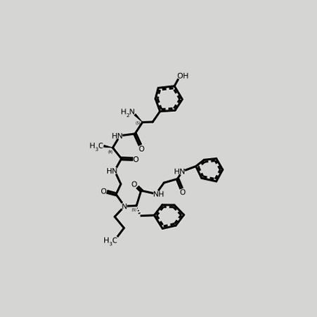 CCCN(C(=O)CNC(=O)[C@@H](C)NC(=O)[C@@H](N)Cc1ccc(O)cc1)[C@@H](Cc1ccccc1)C(=O)NCC(=O)Nc1ccccc1